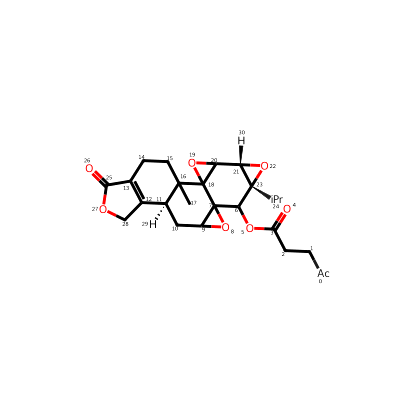 CC(=O)CCC(=O)OC1C23OC2C[C@H]2C4=C(CCC2(C)C32OC2[C@@H]2O[C@]12C(C)C)C(=O)OC4